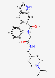 CC(C)N1CCC(CNC(=O)CN(C(=O)c2ccc3cc[nH]c3c2)c2ccccc2)CC1